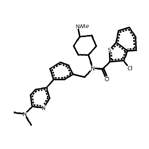 CNC1CCC(N(Cc2cccc(-c3ccc(N(C)C)nc3)c2)C(=O)c2sc3ccccc3c2Cl)CC1